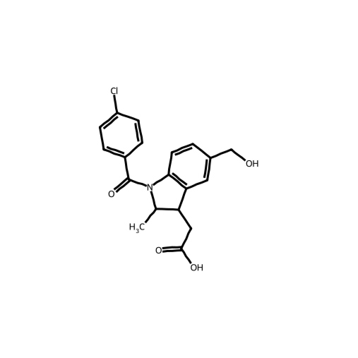 CC1C(CC(=O)O)c2cc(CO)ccc2N1C(=O)c1ccc(Cl)cc1